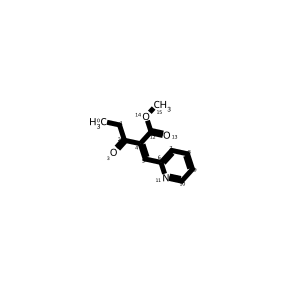 CCC(=O)C(=Cc1ccccn1)C(=O)OC